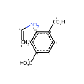 C=CN.O=C(O)c1ccc(C(=O)O)cc1